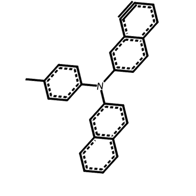 Cc1ccc(N(c2ccc3ccc#cc3c2)c2ccc3ccccc3c2)cc1